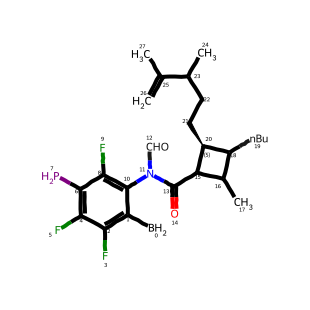 Bc1c(F)c(F)c(P)c(F)c1N(C=O)C(=O)C1C(C)C(CCCC)[C@@H]1CCC(C)C(=C)C